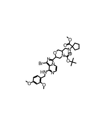 COC(=O)C1(NCC2COC(c3nc(Br)c4c(NCc5ccc(OC)cc5OC)nccn34)CN2C(=O)OC(C)(C)C)CCCC1